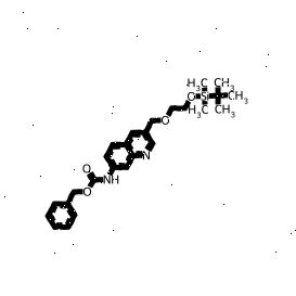 CC(C)(C)[Si](C)(C)OCCOCc1cnc2cc(NC(=O)OCc3ccccc3)ccc2c1